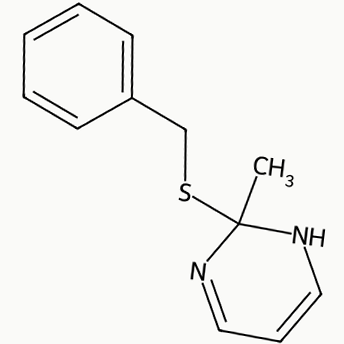 CC1(SCc2ccccc2)N=CC=CN1